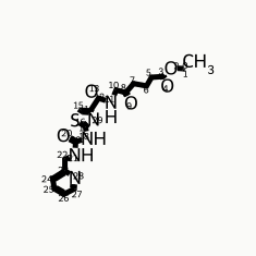 CCOC(=O)CCCC(=O)CNC(=O)c1csc(NC(=O)NCc2ccccn2)n1